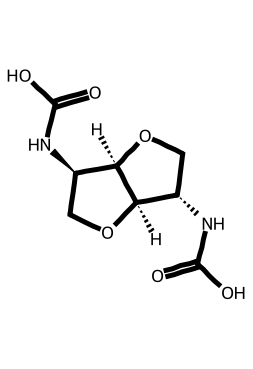 O=C(O)N[C@H]1CO[C@H]2[C@@H]1OC[C@H]2NC(=O)O